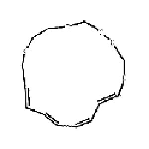 [C]1=C/C=C\C=C\C=C\CCCCCCCCCC/1